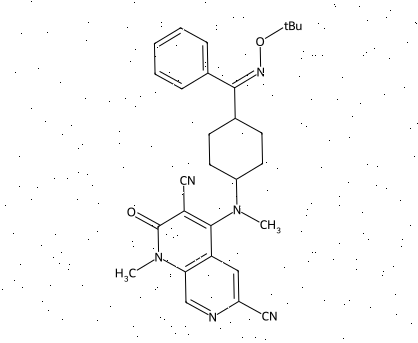 CN(c1c(C#N)c(=O)n(C)c2cnc(C#N)cc12)C1CCC(/C(=N/OC(C)(C)C)c2ccccc2)CC1